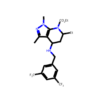 CCOC(=O)N1c2c(c(C)nn2C)C(NCc2cc(C(F)(F)F)cc(C(F)(F)F)c2)CC1CC